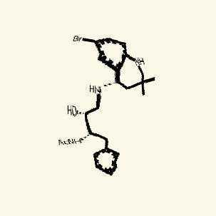 CC(=O)N[C@@H](Cc1ccccc1)[C@H](O)CN[C@H]1CC(C)(C)Nc2ccc(Br)cc21